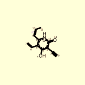 C#Cc1c(O)c(C=C)c(/C=C\C)[nH]c1=O